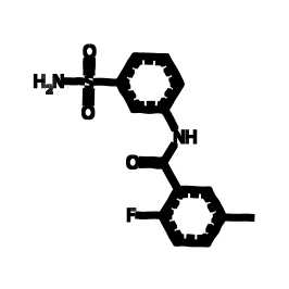 Cc1ccc(F)c(C(=O)Nc2cccc(S(N)(=O)=O)c2)c1